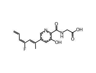 C=C/C=C(F)\C=C(/C)c1cnc(C(=O)NCC(=O)O)c(O)c1